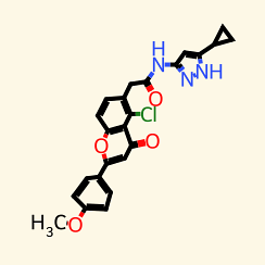 COc1ccc(-c2cc(=O)c3c(Cl)c(CC(=O)Nc4cc(C5CC5)[nH]n4)ccc3o2)cc1